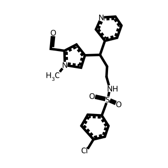 Cn1cc(C(CCNS(=O)(=O)c2ccc(Cl)cc2)c2cccnc2)cc1C=O